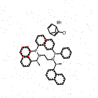 C[C@@H](c1cccc2ccccc12)N(CCN([C@@H](C)c1cccc2ccccc12)P(c1ccccc1)c1ccccc1)P(c1ccccc1)c1ccccc1.ClC1=CC2C=CC1C2.[Rh]